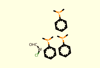 CP(C)c1ccccc1.CP(C)c1ccccc1.CP(C)c1ccccc1.O=[CH][W][Cl]